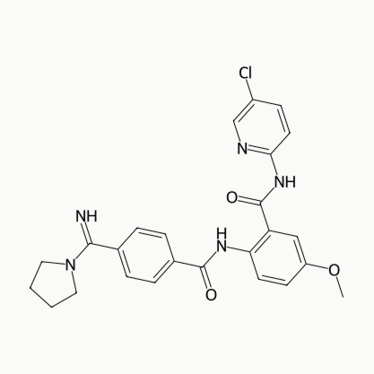 COc1ccc(NC(=O)c2ccc(C(=N)N3CCCC3)cc2)c(C(=O)Nc2ccc(Cl)cn2)c1